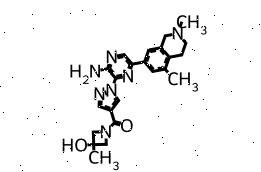 Cc1cc(-c2cnc(N)c(-n3cc(C(=O)N4CC(C)(O)C4)cn3)n2)cc2c1CCN(C)C2